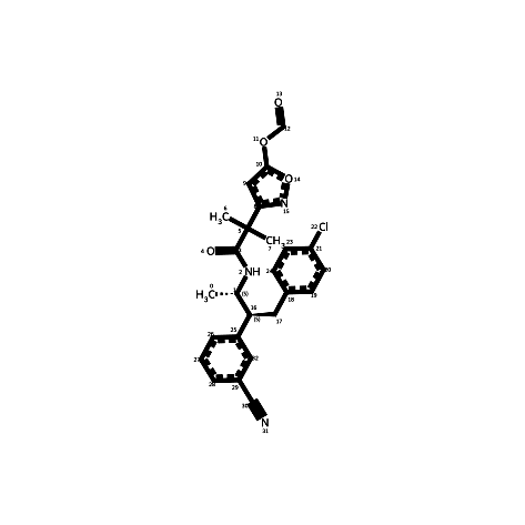 C[C@H](NC(=O)C(C)(C)c1cc(OC=O)on1)[C@@H](Cc1ccc(Cl)cc1)c1cccc(C#N)c1